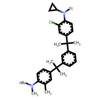 CCCCN(C)c1ccc(C(C)(C)c2cccc(C(C)(C)c3ccc(N(CC)C4CC4)c(Cl)c3)c2)cc1C